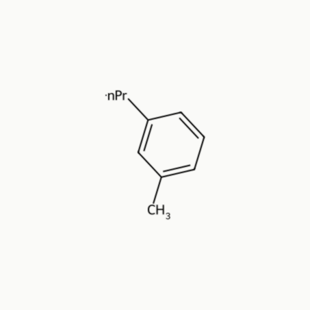 CC[CH]c1cccc(C)c1